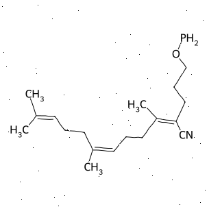 CC(C)=CCCC(C)=CCCC(C)=C(C#N)CCCOP